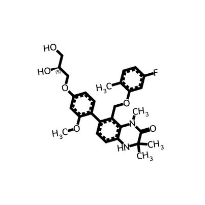 COc1cc(OC[C@@H](O)CO)ccc1-c1ccc2c(c1COc1cc(F)ccc1C)N(C)C(=O)C(C)(C)N2